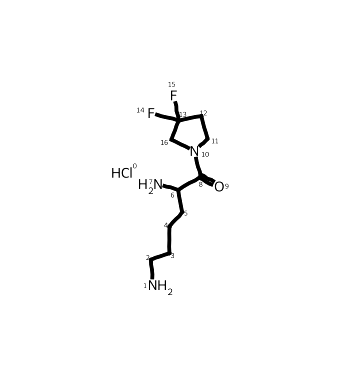 Cl.NCCCCC(N)C(=O)N1CCC(F)(F)C1